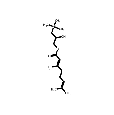 CC(C)=CCC/C(C)=C/C(=O)OCC(O)C[N+](C)(C)C